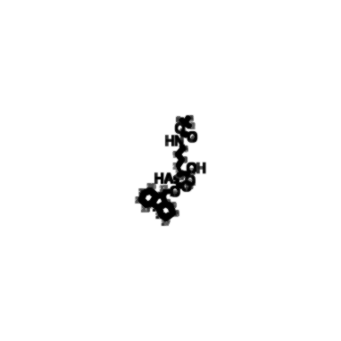 CC(C)(C)OC(=O)NCCCC[C@H]([AsH]C(=O)OCC1c2ccccc2-c2ccccc21)C(=O)O